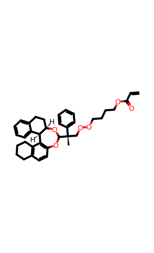 C=CC(=O)OCCCCOOC[C@@](C)(c1ccccc1)C1Oc2ccc3c(c2[C@H]2c4ccccc4CC[C@H]2O1)CCCC3